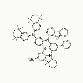 CC(C)(C)c1cc2c3c(c1)C1(C)CCCCC1(C)N3c1cc(-c3ccccc3)cc3c1B2c1ccc(N(c2ccc4c(c2)C(C)(C)CCC4(C)C)c2ccc4c(c2)C(C)(C)CCC4(C)C)cc1N3c1cccc2c1oc1ccccc12